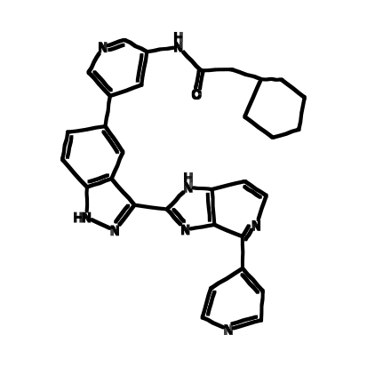 O=C(CC1CCCCC1)Nc1cncc(-c2ccc3[nH]nc(-c4nc5c(-c6ccncc6)nccc5[nH]4)c3c2)c1